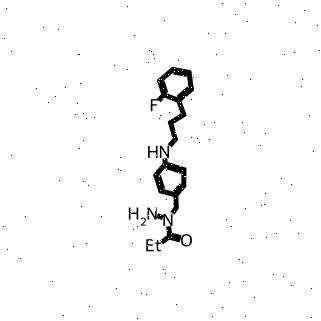 CCC(=O)N(N)Cc1ccc(NCCCc2ccccc2F)cc1